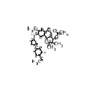 CSc1ccc(-c2ccc(Cc3cc(C4O[C@H](C)[C@@H](C)[C@H](OC(C)=O)[C@H]4SC)ccc3C)s2)cc1